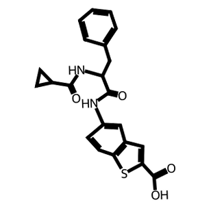 O=C(O)c1cc2cc(NC(=O)C(Cc3ccccc3)NC(=O)C3CC3)ccc2s1